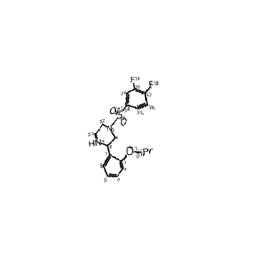 CC(C)Oc1ccccc1C1CN(S(=O)(=O)c2ccc(F)c(F)c2)CCN1